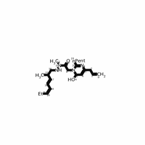 C=CCC1=CC(O)N(CC(=O)N(C)NCC(C)/C=C/C=C\CC)C(CCCCC)=N1